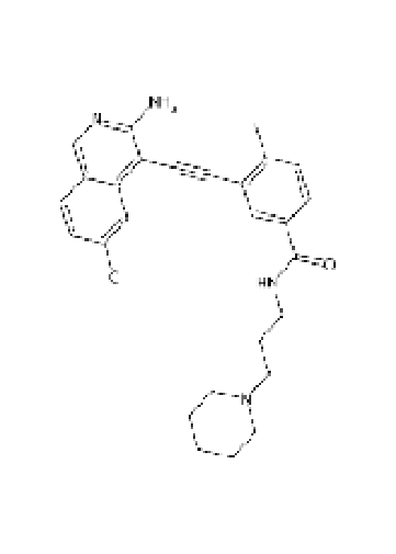 Cc1ccc(C(=O)NCCCN2CCCCC2)cc1C#Cc1c(N)ncc2ccc(Cl)cc12